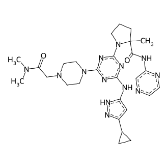 CN(C)C(=O)CN1CCN(c2nc(Nc3cc(C4CC4)n[nH]3)nc(N3CCCC3(C)C(=O)Nc3cnccn3)n2)CC1